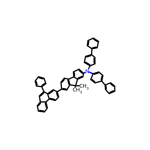 CC1(C)c2cc(-c3ccc4c(c3)c(-c3ccccc3)cc3ccccc34)ccc2-c2ccc(N(c3ccc(-c4ccccc4)cc3)c3ccc(-c4ccccc4)cc3)cc21